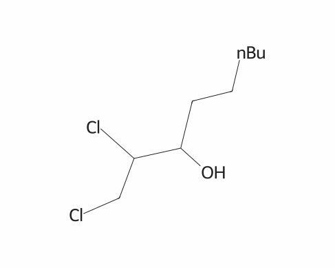 CCCCCCC(O)C(Cl)CCl